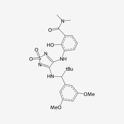 COc1cc(OC)cc(C(NC2=NS(=O)(=O)N=C2Nc2cccc(C(=O)N(C)C)c2O)C(C)(C)C)c1